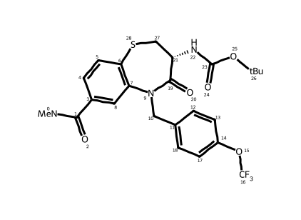 CNC(=O)c1ccc2c(c1)N(Cc1ccc(OC(F)(F)F)cc1)C(=O)[C@@H](NC(=O)OC(C)(C)C)CS2